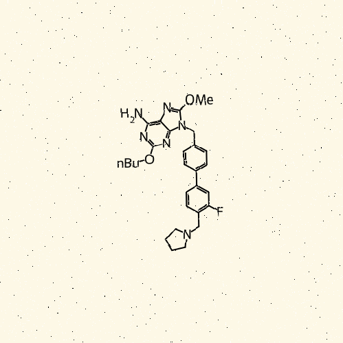 CCCCOc1nc(N)c2nc(OC)n(Cc3ccc(-c4ccc(CN5CCCC5)c(F)c4)cc3)c2n1